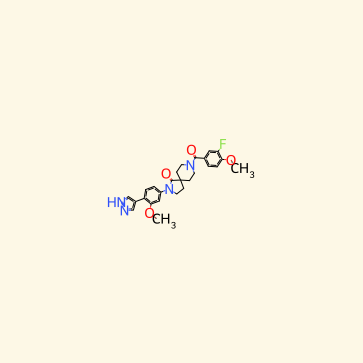 COc1ccc(C(=O)N2CCC3(CC2)CCN(c2ccc(-c4cn[nH]c4)c(OC)c2)C3=O)cc1F